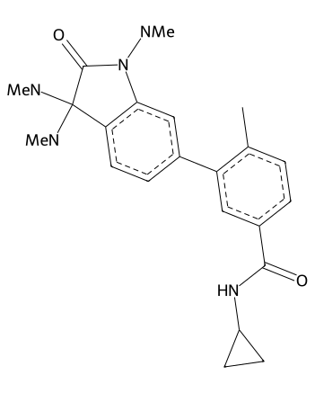 CNN1C(=O)C(NC)(NC)c2ccc(-c3cc(C(=O)NC4CC4)ccc3C)cc21